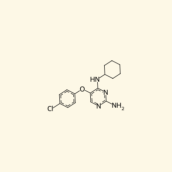 Nc1ncc(Oc2ccc(Cl)cc2)c(NC2CCCCC2)n1